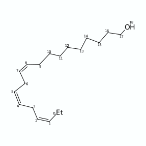 CC/C=C\C/C=C\C/C=C\CCCCCCCCCO